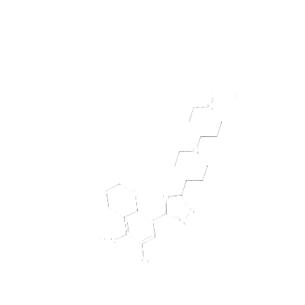 CCOC(=O)N1CCC(N2CCC(c3nnc(-c4cc(Cl)c(N)c5c4OCCC5)o3)CC2)CC1